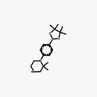 CC1(C)CNCCN1c1ccc(B2OC(C)(C)C(C)(C)O2)cc1